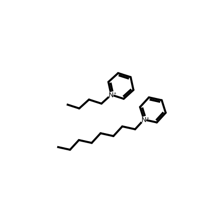 CCCCCCCC[n+]1ccccc1.CCCC[n+]1ccccc1